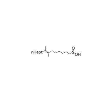 CCCCCCC/C(C)=C(\C)CCCCCCS(=O)O